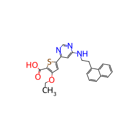 CCOc1cc(-c2cc(NCCc3cccc4ccccc34)ncn2)sc1C(=O)O